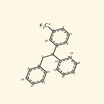 FC(F)(F)c1cccc([C](Cc2ccccc2)c2ccccn2)c1